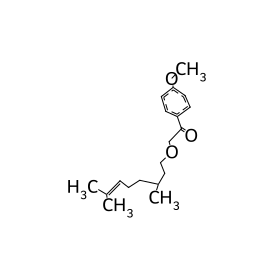 COc1ccc(C(=O)COCCC(C)CCC=C(C)C)cc1